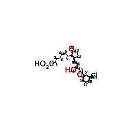 O=C(O)CCC/C=C\CC1=C(/C=C/[C@@H](O)COc2cccc(Cl)c2)CCC1=O